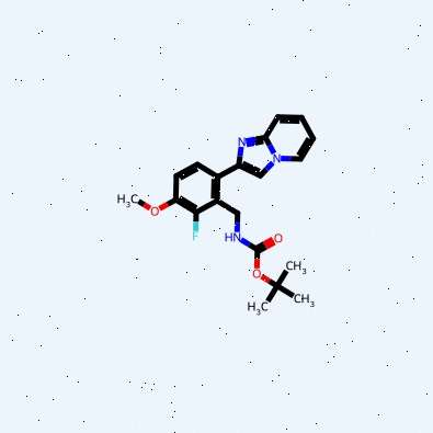 COc1ccc(-c2cn3ccccc3n2)c(CNC(=O)OC(C)(C)C)c1F